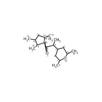 CC1CC(C(C)C(=O)N2C(C)C(C)C[C@H]2C)CC(C)O1